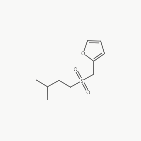 CC(C)CCS(=O)(=O)Cc1ccco1